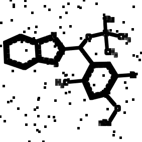 CCCCOc1cc(C)c(C(O[Si](C)(C)C(C)(C)C)c2nc3ccccc3s2)cc1Br